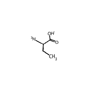 [3H]C(CC)C(=O)O